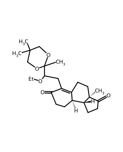 CCOC(CC1=C2CC[C@@]3(C)C(=O)CC[C@@H]3[C@H]2CCC1=O)C1(C)OCC(C)(C)CO1